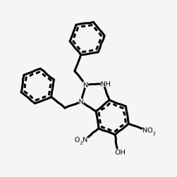 O=[N+]([O-])c1cc2c(c([N+](=O)[O-])c1O)N(Cc1ccccc1)N(Cc1ccccc1)N2